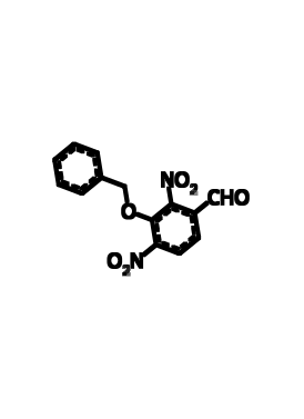 O=Cc1ccc([N+](=O)[O-])c(OCc2ccccc2)c1[N+](=O)[O-]